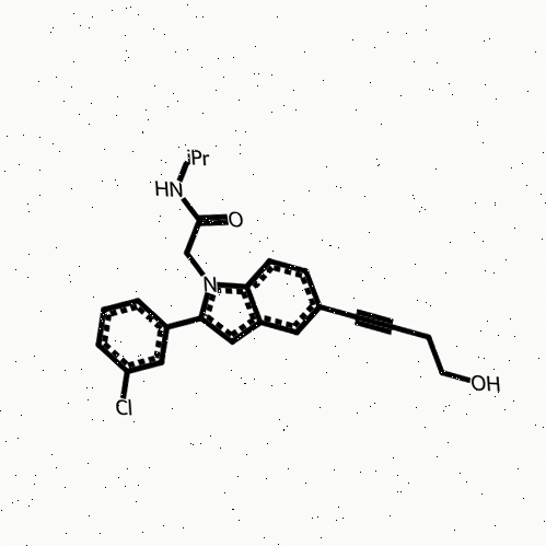 CC(C)NC(=O)Cn1c(-c2cccc(Cl)c2)cc2cc(C#CCCO)ccc21